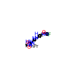 CCCn1c(=O)n(C2CC2)c(=O)c2[nH]c(-c3ccc(NCc4ccc(CNC(=O)c5ccc(F)cc5)cc4)nc3)nc21